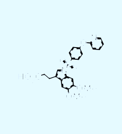 COc1cc2c(CCC(=O)O)cn(S(=O)(=O)c3ccc(Oc4ccccn4)cc3)c2cc1OC